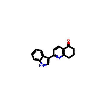 O=C1CCCc2nc(-c3c[nH]c4ccccc34)ccc21